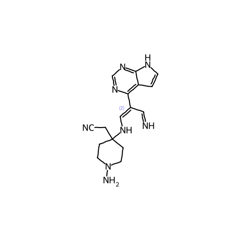 N#CCC1(N/C=C(\C=N)c2ncnc3[nH]ccc23)CCN(N)CC1